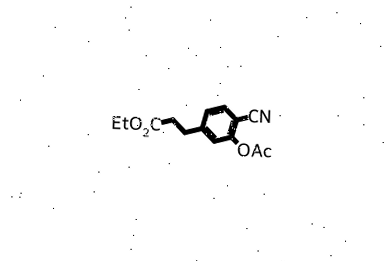 CCOC(=O)CCc1ccc(C#N)c(OC(C)=O)c1